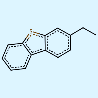 CCc1ccc2c(c1)sc1ccccc12